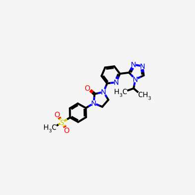 CC(C)n1cnnc1-c1cccc(N2CCN(c3ccc(S(C)(=O)=O)cc3)C2=O)n1